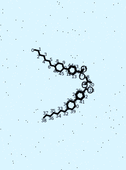 CCCCCCCC1CCC(c2ccc(C(=O)OCC(C)OC(=O)c3ccc(C4CCC(CCCCCCC)CC4)cc3)cc2)CC1